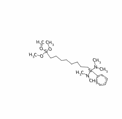 CO[Si](CCCCCCCC[Si](c1ccccc1)(N(C)C)N(C)C)(OC)OC